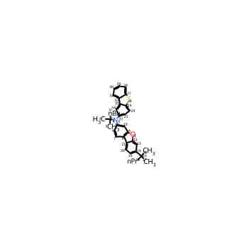 CCCCC(C)(C)N(c1ccc2c(c1)oc1cc(C(C)(C)CCC)ccc12)c1ccc2sc3ccccc3c2c1